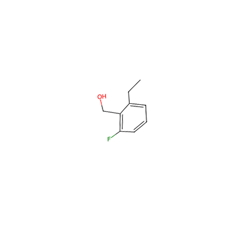 CCc1cccc(F)c1CO